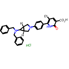 CCc1cc(C(=O)O)c(=O)[nH]c1-c1ccc(N2C[C@@H]3C(N(Cc4ccccc4)Cc4ccccc4)[C@@H]3C2)cc1.Cl